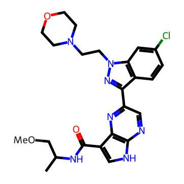 COCC(C)NC(=O)c1c[nH]c2ncc(-c3nn(CCN4CCOCC4)c4cc(Cl)ccc34)nc12